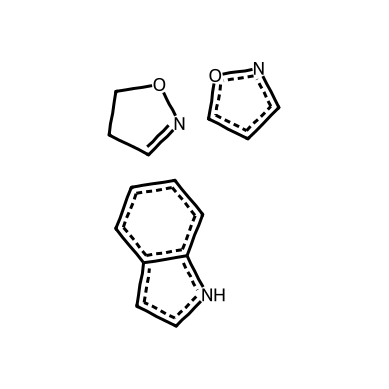 C1=NOCC1.c1ccc2[nH]ccc2c1.c1cnoc1